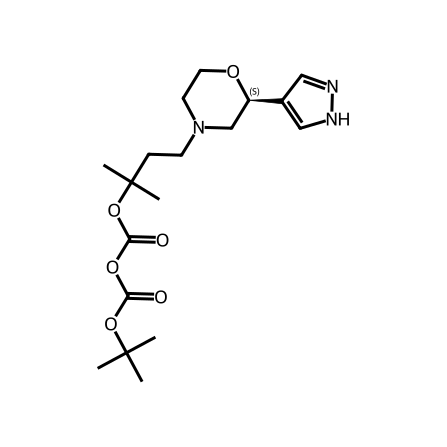 CC(C)(C)OC(=O)OC(=O)OC(C)(C)CCN1CCO[C@@H](c2cn[nH]c2)C1